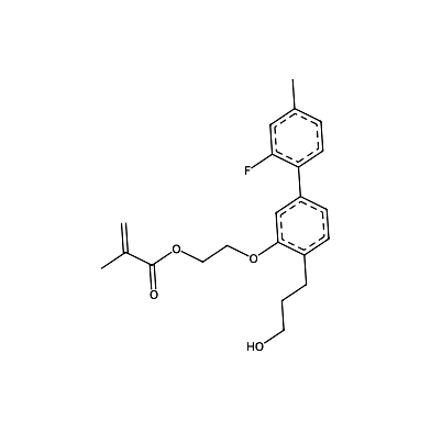 C=C(C)C(=O)OCCOc1cc(-c2ccc(C)cc2F)ccc1CCCO